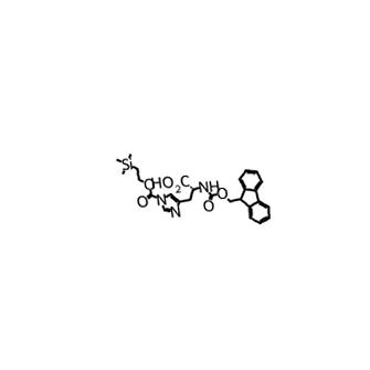 C[Si](C)(C)CCOC(=O)n1cnc(C[C@@H](NC(=O)OCC2c3ccccc3-c3ccccc32)C(=O)O)c1